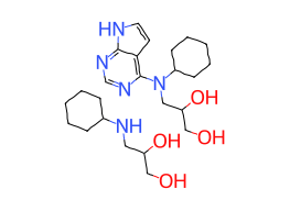 OCC(O)CN(c1ncnc2[nH]ccc12)C1CCCCC1.OCC(O)CNC1CCCCC1